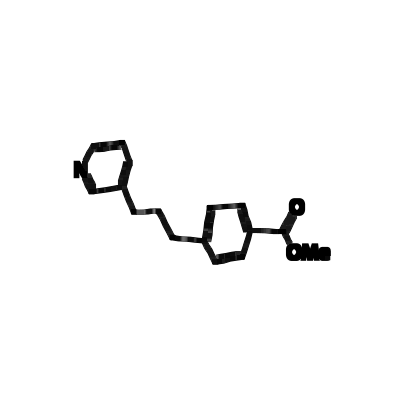 COC(=O)c1ccc(CCCc2cccnc2)cc1